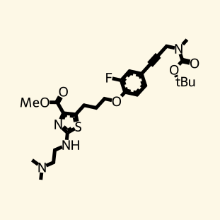 COC(=O)c1nc(NCCN(C)C)sc1CCCOc1ccc(C#CCN(C)C(=O)OC(C)(C)C)cc1F